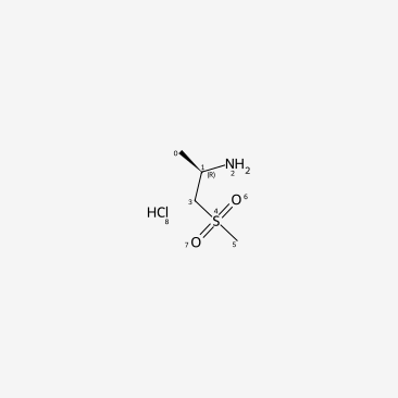 C[C@@H](N)CS(C)(=O)=O.Cl